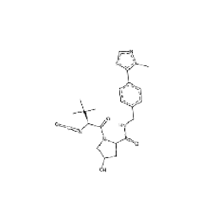 Cc1ncsc1-c1ccc(CNC(=O)C2CC(O)CN2C(=O)[C@@H](N=C=O)C(C)(C)C)cc1